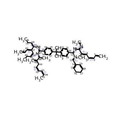 C=C\C=C/C=C(C)/C(=N/C)/N=C(\N=C\C1=CCCC=C1)c1ccc(C(C)(C)c2ccc(C(=N/C(=C/CC)C(/C=C\CC)=C/C=C)/N=C(\C)C(=C)C/C=C\C=C/C)cc2)cc1